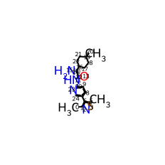 Cc1nsc(C)c1-c1ccc(NC(=O)[C@@H](N)C2CCC(C)CC2)nc1